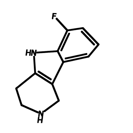 Fc1cccc2c3c([nH]c12)CCNC3